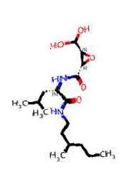 CCCC(C)CCNC(=O)[C@H](CC(C)C)NC(=O)[C@H]1O[C@@H]1C(O)O